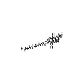 NCCOCCOCCOCCOC[C@H]1OC[C@H](Nc2cncc(C(F)(F)F)n2)[C@@H](O)[C@H]1O